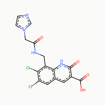 O=C(Cn1ccnc1)NCc1c(Cl)c(Cl)cc2cc(C(=O)O)c(=O)[nH]c12